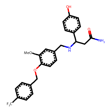 COc1cc(CNC(CC(N)=O)c2ccc(O)cc2)ccc1OCc1ccc(C(F)(F)F)cc1